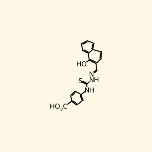 O=C(O)c1ccc(NC(=S)NN=Cc2ccc3ccccc3c2O)cc1